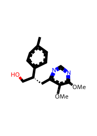 COc1ncnc(C[C@H](CO)c2ccc(C)cc2)c1OC